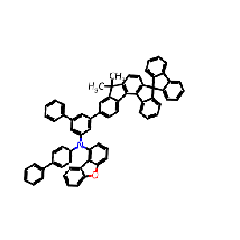 CC1(C)c2cc(-c3cc(-c4ccccc4)cc(N(c4ccc(-c5ccccc5)cc4)c4cccc5oc6ccccc6c45)c3)ccc2-c2c1ccc1c2-c2ccccc2C12c1ccccc1-c1ccccc12